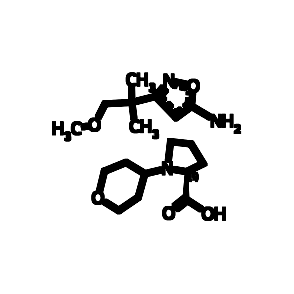 COCC(C)(C)c1cc(N)on1.O=C(O)[C@@H]1CCCN1C1CCOCC1